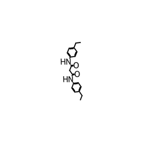 CCc1ccc(NC(=O)CC(=O)Nc2ccc(CC)cc2)cc1